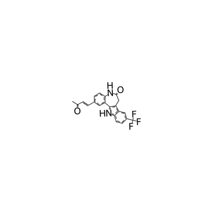 CC(=O)C=Cc1ccc2c(c1)-c1[nH]c3ccc(C(F)(F)F)cc3c1CC(=O)N2